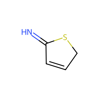 N=C1C=CCS1